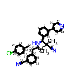 C[C@H](NC(c1cccc(-c2ccncc2)c1)C(C)(C)C#N)[C@@H](Cc1ccc(Cl)cc1)c1cccc(C#N)c1